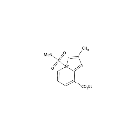 CCOC(=O)C1=CC=C[N+]2(S(=O)(=O)NC)C=C(C)N=C12